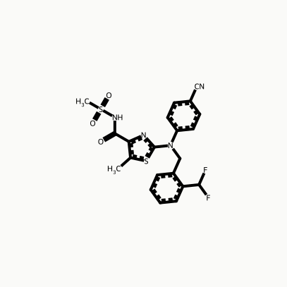 Cc1sc(N(Cc2ccccc2C(F)F)c2ccc(C#N)cc2)nc1C(=O)NS(C)(=O)=O